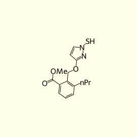 CCCc1cccc(C(=O)OC)c1COc1ccn(S)n1